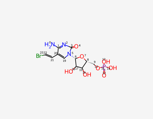 Nc1nc(=O)n([C@@H]2O[C@H](COP(=O)(O)O)C(O)C2O)cc1/C=C/Br